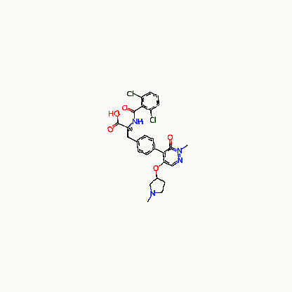 CN1CCC(Oc2cnn(C)c(=O)c2-c2ccc(C[C@H](NC(=O)c3c(Cl)cccc3Cl)C(=O)O)cc2)C1